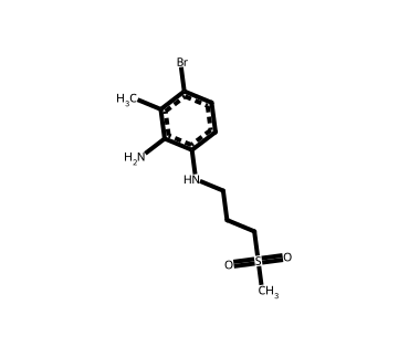 Cc1c(Br)ccc(NCCCS(C)(=O)=O)c1N